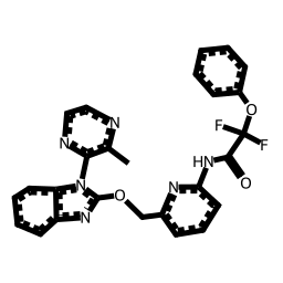 Cc1nccnc1-n1c(OCc2cccc(NC(=O)C(F)(F)Oc3ccccc3)n2)nc2ccccc21